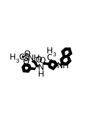 Cc1cc(Nc2ccc3ccccc3c2)ccc1C(=O)N[C@@H](Cc1ccccc1)C(=O)CNS(C)(=O)=O